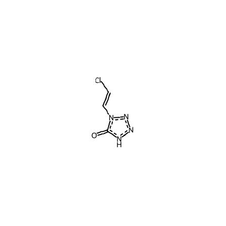 O=c1[nH]nnn1/C=C/Cl